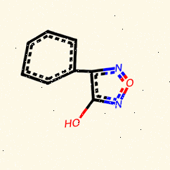 Oc1nonc1-c1ccccc1